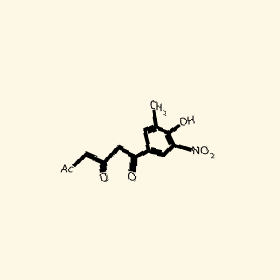 CC(=O)CC(=O)CC(=O)c1cc(C)c(O)c([N+](=O)[O-])c1